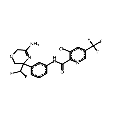 NC1=NC(c2cccc(NC(=O)c3ncc(C(F)(F)F)cc3Cl)c2)(C(F)F)COC1